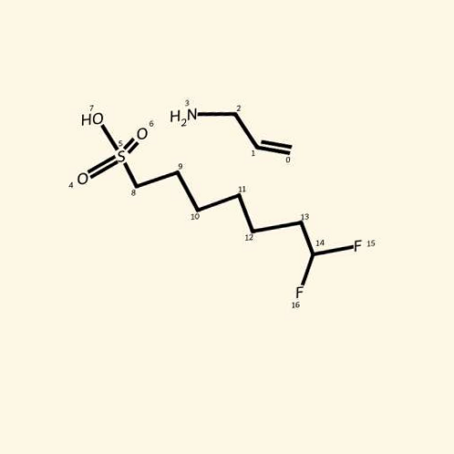 C=CCN.O=S(=O)(O)CCCCCCC(F)F